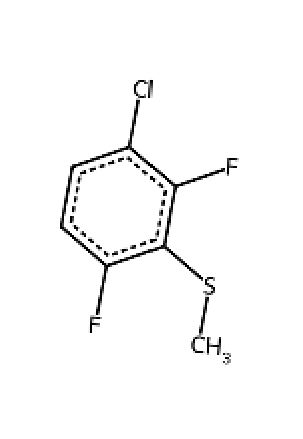 CSc1c(F)ccc(Cl)c1F